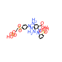 Nc1cc(C(=O)O)c(N=Nc2ccccc2S(=O)(=O)O)c(N)c1N=Nc1ccc(S(=O)(=O)CCOS(=O)(=O)O)cc1